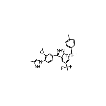 COc1cc(-c2nnc3n([C@@H](C)c4ccc(C)cc4)cc(C(C)(F)F)cc2-3)ccc1-n1cnc(C)c1